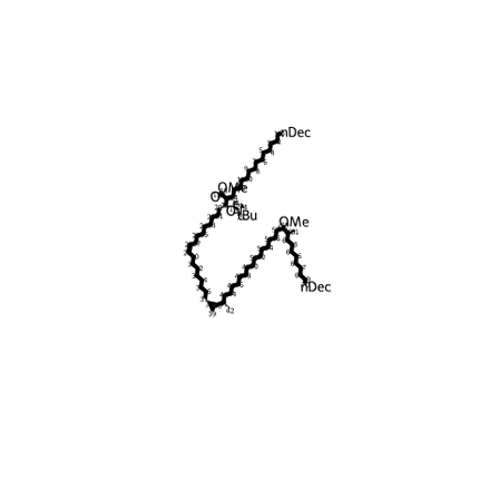 CCCCCCCCCCCCCCCCCCCCCCCCC(C(=O)OC)[C@@H](CCCCCCCC/C=C\CCCCCCCC[C@H]1C[C@@H]1[C@@H](C)CCCCCCCCCCCCCCC[C@H](OC)[C@@H](C)CCCCCCCCCCCCCCCCCC)O[Si](C)(C)C(C)(C)C